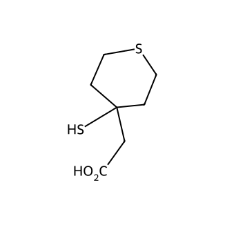 O=C(O)CC1(S)CCSCC1